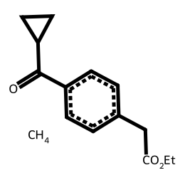 C.CCOC(=O)Cc1ccc(C(=O)C2CC2)cc1